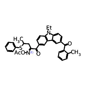 CCn1c2ccc(C(=O)/C(CC(C)Sc3ccccc3)=N/OC(C)=O)cc2c2cc(C(=O)c3ccccc3C)ccc21